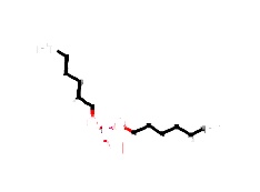 CC(C)CCCCCOP(O)OCCCCCC(C)C